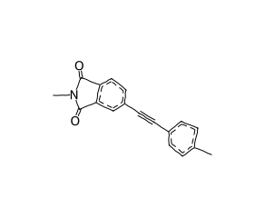 Cc1ccc(C#Cc2ccc3c(c2)C(=O)N(C)C3=O)cc1